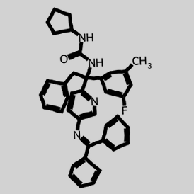 Cc1cc(F)cc(C(Cc2ccccc2)(NC(=O)NC2CCCC2)c2ccc(N=C(c3ccccc3)c3ccccc3)cn2)c1